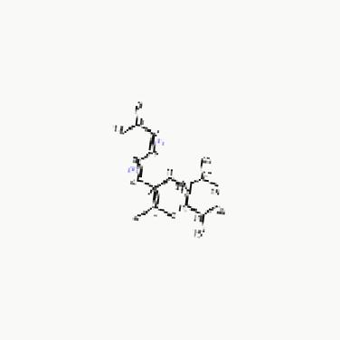 CC(C)=C(/C=C\C=C/C(C)C)CN(CC(C)C)C(C)C